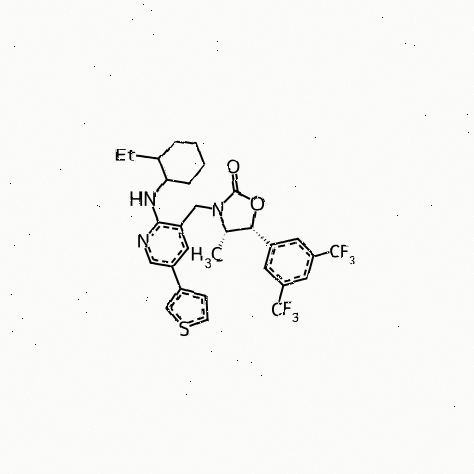 CCC1CCCCC1Nc1ncc(-c2ccsc2)cc1CN1C(=O)O[C@H](c2cc(C(F)(F)F)cc(C(F)(F)F)c2)[C@@H]1C